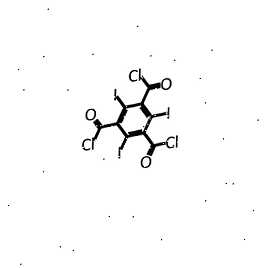 O=C(Cl)c1c(I)c(C(=O)Cl)c(I)c(C(=O)Cl)c1I